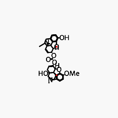 COc1ccc2c3c1O[C@H]1C(OC(=O)O[C@H]4C=CC5C6Cc7ccc(O)c8c7[C@@]5(CCN6C)[C@H]4O8)=CC[C@@]4(O)C(C2)N(C)CC[C@]314